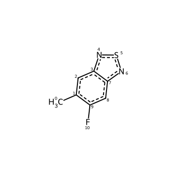 Cc1cc2nsnc2cc1F